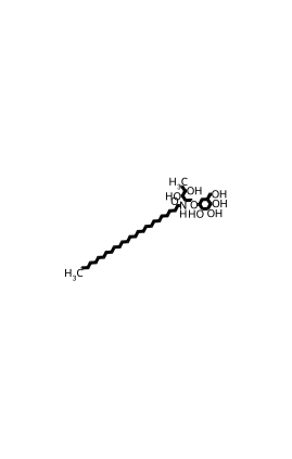 CCCCCCCCCCCCCCCCCCCCCCCCCC(=O)NC(COC1CC(CO)C(O)C(O)C1O)C(O)C(O)CC